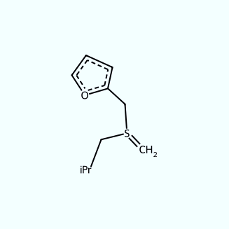 C=S(Cc1ccco1)CC(C)C